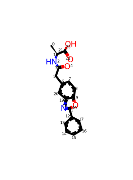 C[C@H](NC(=O)Cc1ccc2oc(-c3ccccc3)nc2c1)C(=O)O